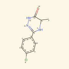 CC1NC(c2ccc(Cl)cc2)=NNC1=O